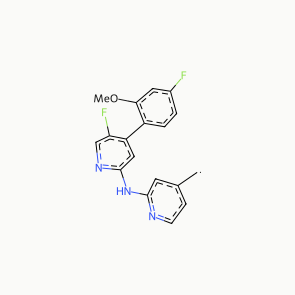 [CH2]c1ccnc(Nc2cc(-c3ccc(F)cc3OC)c(F)cn2)c1